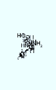 Cc1ccc(C#Cc2c(Cl)nc(N)nc2N[C@@H]2C[C@H](CO)[C@@H](O)[C@H]2O)cn1